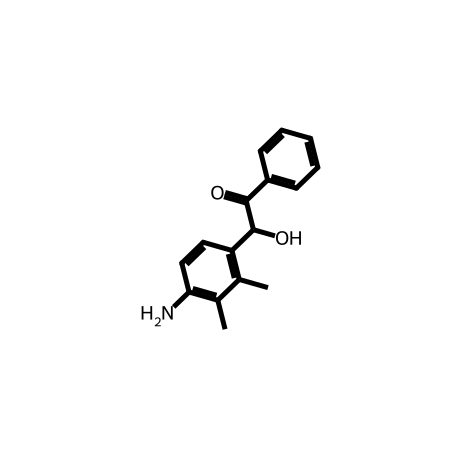 Cc1c(N)ccc(C(O)C(=O)c2ccccc2)c1C